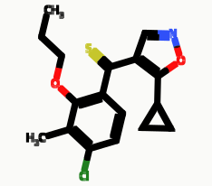 CCCOc1c(C(=S)c2cnoc2C2CC2)ccc(Cl)c1C